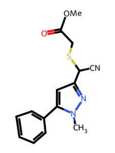 COC(=O)CSC(C#N)c1cc(-c2ccccc2)n(C)n1